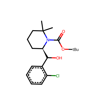 CC(C)(C)OC(=O)N1[C@@H](C(O)c2ccccc2Cl)CCCC1(C)C